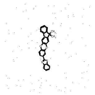 CC1(C)c2ccccc2-c2cc3c(cc21)Oc1cc(-c2nc4ccccc4s2)ccc1O3